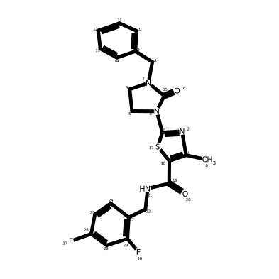 Cc1nc(N2CCN(Cc3ccccc3)C2=O)sc1C(=O)NCc1ccc(F)cc1F